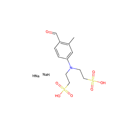 Cc1cc(N(CCS(=O)(=O)O)CCS(=O)(=O)O)ccc1C=O.[NaH].[NaH]